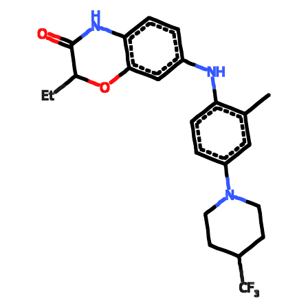 CCC1Oc2cc(Nc3ccc(N4CCC(C(F)(F)F)CC4)cc3C)ccc2NC1=O